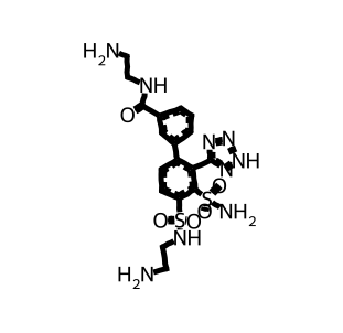 NCCNC(=O)c1cccc(-c2ccc(S(=O)(=O)NCCN)c(S(N)(=O)=O)c2-c2nn[nH]n2)c1